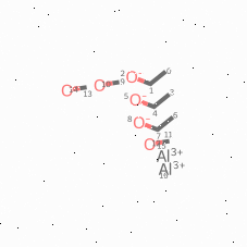 CC[O-].CC[O-].CC[O-].C[O-].C[O-].C[O-].[Al+3].[Al+3]